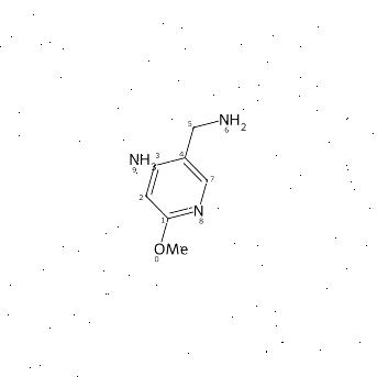 COc1ccc(CN)cn1.N